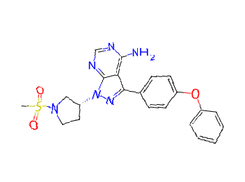 CS(=O)(=O)N1CC[C@@H](n2nc(-c3ccc(Oc4ccccc4)cc3)c3c(N)ncnc32)C1